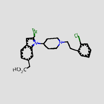 O=C(O)Cc1ccc2cc(Br)n(C3CCN(CCc4ccccc4Cl)CC3)c2c1